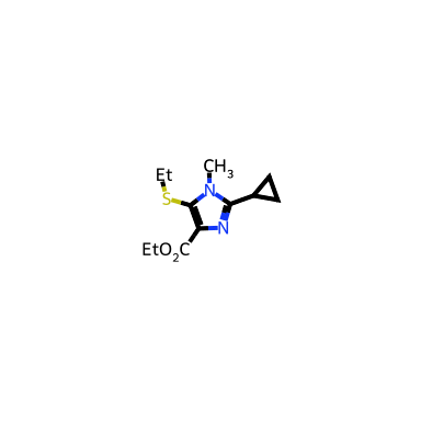 CCOC(=O)c1nc(C2CC2)n(C)c1SCC